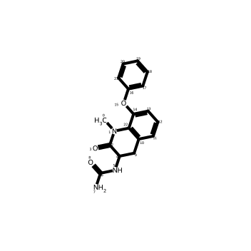 CN1C(=O)C(NC(N)=O)Cc2cccc(Oc3ccccc3)c21